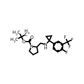 CC(C)(C)OC(=O)N1CCCC1CNC1(c2ccc(F)c(C(F)(F)F)c2)CC1